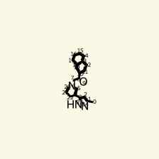 Cc1cc(C2=CN(CC(=O)c3ccc4ccccc4c3)C=CC2)[nH]n1